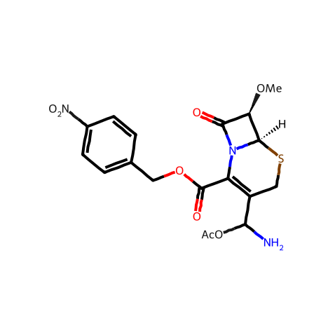 CO[C@@H]1C(=O)N2C(C(=O)OCc3ccc([N+](=O)[O-])cc3)=C(C(N)OC(C)=O)CS[C@H]12